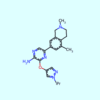 Cc1cc(-c2cnc(N)c(Oc3cnn(C(C)C)c3)n2)cc2c1CCN(C)C2